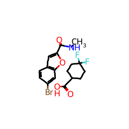 CNC(=O)c1cc2ccc(Br)cc2o1.O=C(O)C1CCC(F)(F)CC1